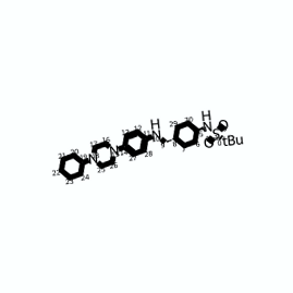 CC(C)(C)S(=O)(=O)N[C@H]1CC[C@H](CNc2ccc(N3CCN(C4CCCCC4)CC3)cc2)CC1